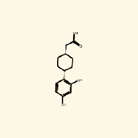 O=C(O)C[C@H]1CC[C@H](c2ccc(O)cc2O)CC1